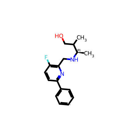 CC(CO)[C@@H](C)NCc1nc(-c2cc[c]cc2)ccc1F